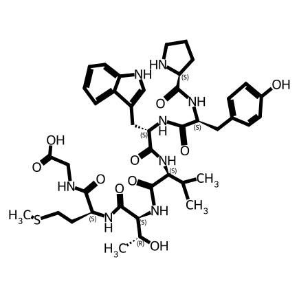 CSCC[C@H](NC(=O)[C@@H](NC(=O)[C@@H](NC(=O)[C@H](Cc1c[nH]c2ccccc12)NC(=O)[C@H](Cc1ccc(O)cc1)NC(=O)[C@@H]1CCCN1)C(C)C)[C@@H](C)O)C(=O)NCC(=O)O